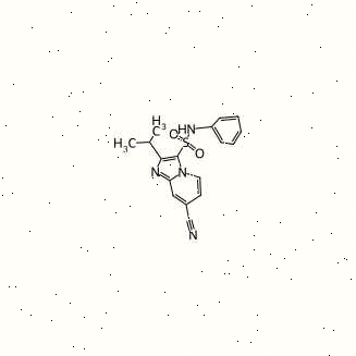 CC(C)c1nc2cc(C#N)ccn2c1S(=O)(=O)Nc1ccccc1